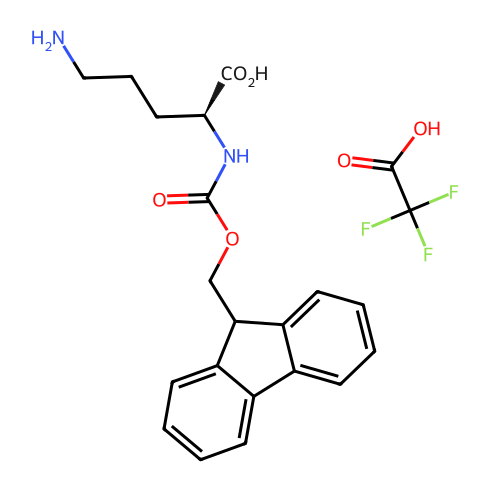 NCCC[C@H](NC(=O)OCC1c2ccccc2-c2ccccc21)C(=O)O.O=C(O)C(F)(F)F